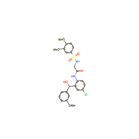 COc1cccc(C(O)c2cc(Cl)ccc2NC(=O)CNS(=O)(=O)c2ccc(OC)c(OC)c2)c1